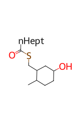 CCCCCCCC(=O)SCC1CC(O)CCC1C